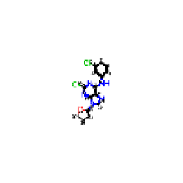 Clc1cccc(Nc2nc(Cl)nc3c2ncn3C2CCCO2)c1